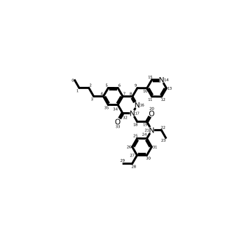 CCCCc1ccc2c(Cc3cccnc3)nn(CC(=O)N(CC)c3ccc(CC)cc3)c(=O)c2c1